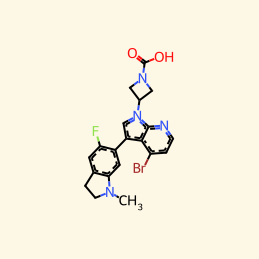 CN1CCc2cc(F)c(-c3cn(C4CN(C(=O)O)C4)c4nccc(Br)c34)cc21